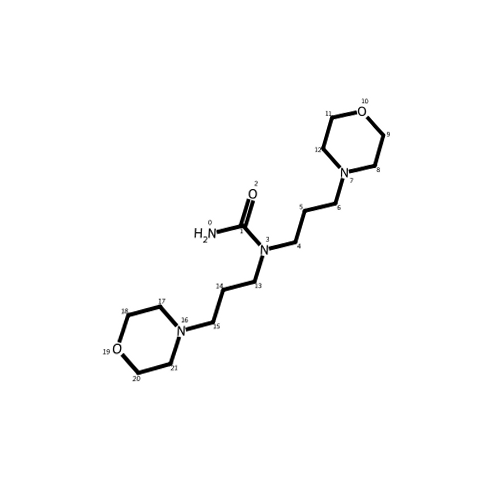 NC(=O)N(CCCN1CCOCC1)CCCN1CCOCC1